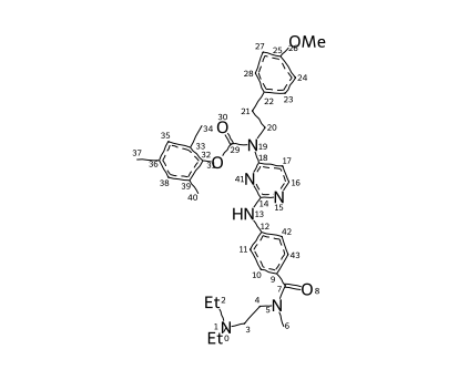 CCN(CC)CCN(C)C(=O)c1ccc(Nc2nccc(N(CCc3ccc(OC)cc3)C(=O)Oc3c(C)cc(C)cc3C)n2)cc1